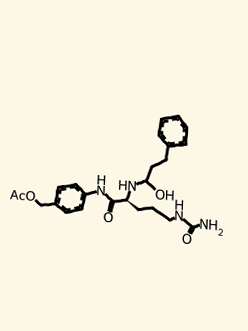 CC(=O)OCc1ccc(NC(=O)[C@H](CCCNC(N)=O)NC(O)CCc2ccccc2)cc1